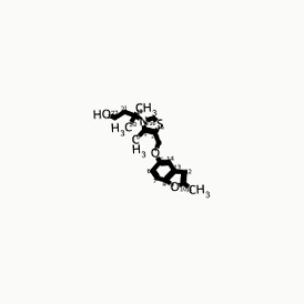 CC1=C(COc2ccc3oc(C)cc3c2)SCN1C(C)(C)CCO